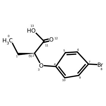 CC[C@H](Oc1ccc(Br)cc1)C(=O)O